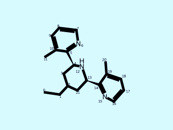 CCC1C[C@@H](c2ncccc2C)N[C@@H](c2ncccc2C)C1